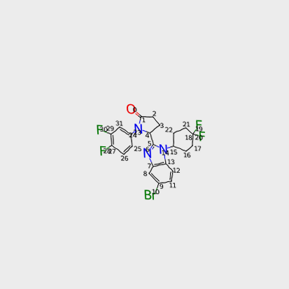 O=C1CCC(c2nc3cc(Br)ccc3n2C2CCC(F)(F)CC2)N1c1ccc(F)c(F)c1